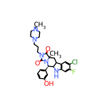 CN1CCN(CCCN2C(=O)N3[C@H](c4cccc(O)c4)C4Nc5cc(F)c(Cl)cc5C4C[C@@]3(C)C2=O)CC1